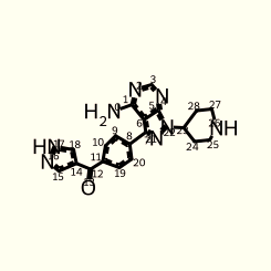 Nc1ncnc2c1c(-c1ccc(C(=O)c3cn[nH]c3)cc1)nn2C1CCNCC1